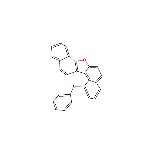 c1ccc(Sc2cccc3ccc4oc5c6ccccc6ccc5c4c23)cc1